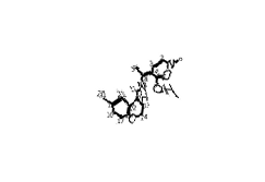 C=N/C=C\C(C(=O)O)=C(/C)NCC1CCOc2ccc(C)cc21